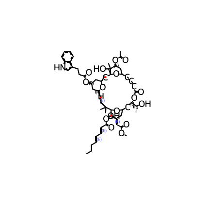 CCC/C=C/C=C/C(=O)O[C@H]1/C(=C/C(=O)OC)CC2C[C@H]([C@@H](C)O)OC(=O)CCCC3C[C@H](OC(C)=O)C(C)(C)C(CO)(CC4(C)C[C@H](OC(=O)CCc5c[nH]c6ccccc56)C[C@H](/C=C/C(C)(C)C1(O)O2)O4)O3